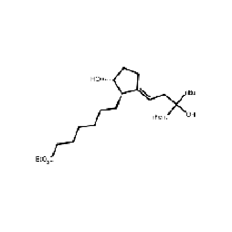 CCCCCC(O)(CC=C1CC[C@@H](O)[C@@H]1CCCCCCC(=O)OCC)CCCC